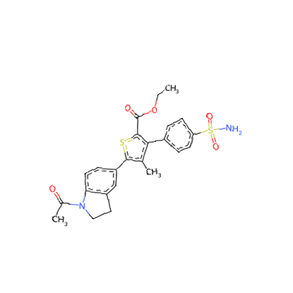 CCOC(=O)c1sc(-c2ccc3c(c2)CCN3C(C)=O)c(C)c1-c1ccc(S(N)(=O)=O)cc1